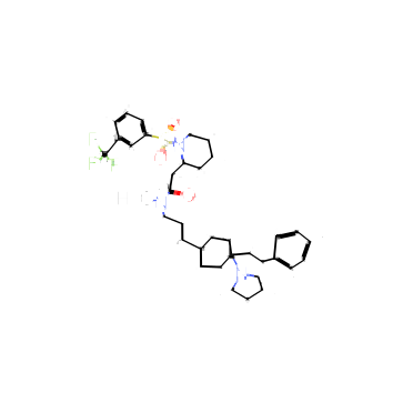 CN(CCCC1CCC(CCc2ccccc2)(N2CCCC2)CC1)C(=O)CC1CCCCN1S(=O)(=O)c1cccc(C(F)(F)F)c1